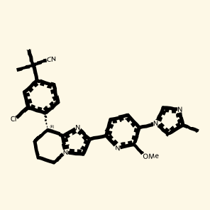 COc1nc(-c2cn3c(n2)[C@@H](c2ccc(C(C)(C)C#N)cc2Cl)CCC3)ccc1-n1cnc(C)c1